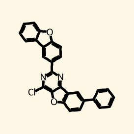 Clc1nc(-c2ccc3oc4ccccc4c3c2)nc2c1oc1ccc(-c3ccccc3)cc12